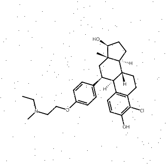 CCN(C)CCOc1ccc([C@H]2C[C@]3(C)[C@@H](O)CC[C@H]3[C@@H]3CCc4c(ccc(O)c4Cl)[C@H]32)cc1